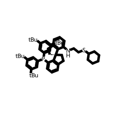 CC(C)(C)c1cc(P(c2cc(C(C)(C)C)cc(C(C)(C)C)c2)c2cccc3c2[C@]2(CCc4cccc(NCCSC5CCCCC5)c42)CC3)cc(C(C)(C)C)c1